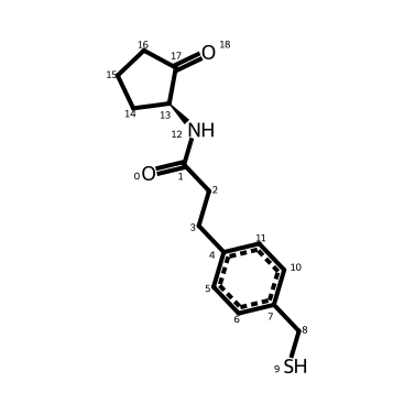 O=C(CCc1ccc(CS)cc1)N[C@H]1CCCC1=O